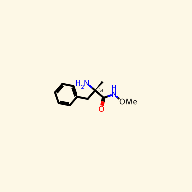 CONC(=O)[C@@](C)(N)Cc1ccccc1